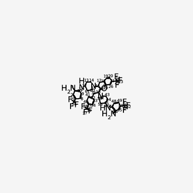 Nc1cc(C(F)(F)F)ccc1NC1CCN(C(Cc2ccc(C(F)(F)F)cc2)C(=O)C(Cc2ccc(C(F)(F)F)cc2)N2CCC(Nc3ccc(C(F)(F)F)cc3N)CC2)CC1